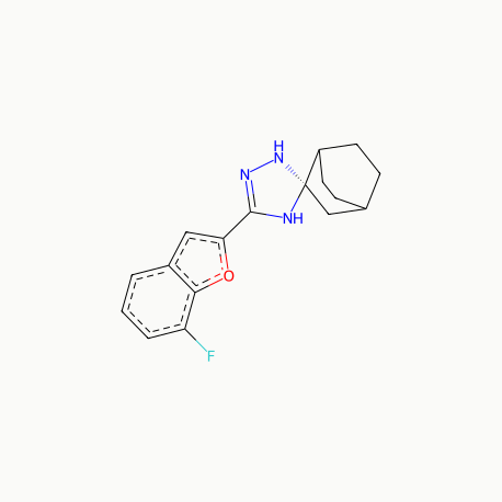 Fc1cccc2cc(C3=NN[C@]4(CC5CCC4CC5)N3)oc12